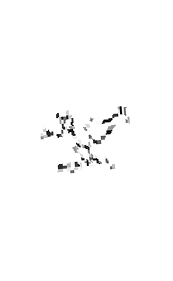 Cn1ncc(-c2nc(N)nc(N)c2[C@H]2CC[C@H](N)CC2)c1CC1CC1